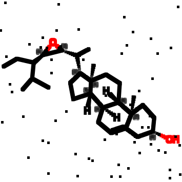 CCC(C(C)C)[C@H]1O[C@@H]1C(C)[C@H]1CC[C@H]2[C@@H]3CC=C4C[C@@H](O)CC[C@]4(C)[C@H]3CC[C@]12C